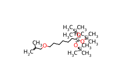 C=C(C)COCCCCCC[Si](O[Si](C)(C)C)(O[Si](C)(C)C)O[Si](C)(C)C